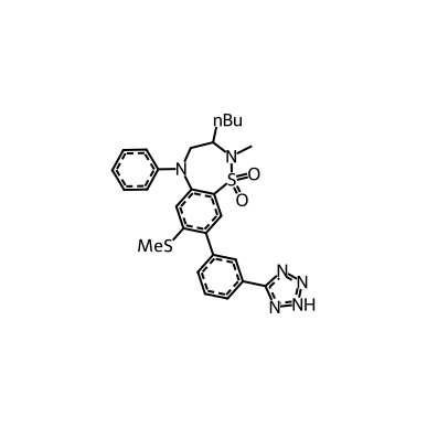 CCCCC1CN(c2ccccc2)c2cc(SC)c(-c3cccc(-c4nn[nH]n4)c3)cc2S(=O)(=O)N1C